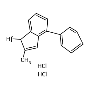 CC1=Cc2c(-c3ccccc3)cccc2[CH]1[Hf].Cl.Cl